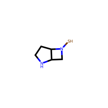 SN1CC2NCCC21